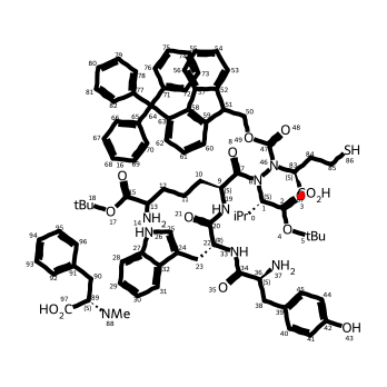 CC(C)[C@@H](C(=O)OC(C)(C)C)N(C(=O)[C@H](CCCC(N)C(=O)OC(C)(C)C)NC(=O)[C@@H](Cc1c[nH]c2ccccc12)NC(=O)[C@@H](N)Cc1ccc(O)cc1)N(C(=O)OCC1c2ccccc2-c2c1cccc2C(c1ccccc1)(c1ccccc1)c1ccccc1)[C@@H](CCS)C(=O)O.CN[C@@H](Cc1ccccc1)C(=O)O